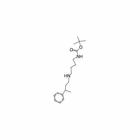 CC(CCNCCCCNC(=O)OC(C)(C)C)c1ccccc1